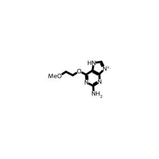 COCCOc1nc(N)nc2c1NC=[N+]2